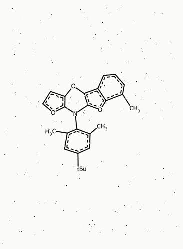 Cc1cc(C(C)(C)C)cc(C)c1N1c2occc2Oc2c1oc1c(C)cccc21